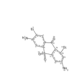 CCc1cc2c(cc1N)S(=O)(=O)c1cc(N)cc(CC)c1C2=O